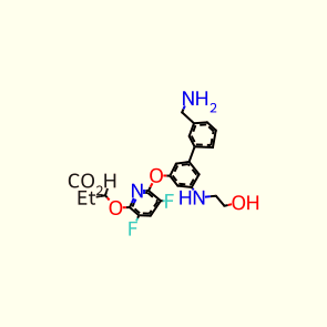 CCC(Oc1nc(Oc2cc(NCCO)cc(-c3cccc(CN)c3)c2)c(F)cc1F)C(=O)O